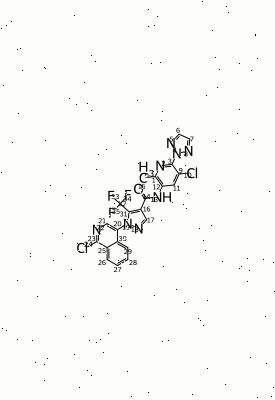 Cc1nc(-n2nccn2)c(Cl)cc1NC(=O)c1cnn(-c2cnc(Cl)c3ccccc23)c1C(F)(F)F